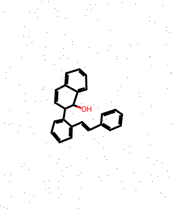 OC1c2ccccc2C=CC1c1ccccc1C=Cc1ccccc1